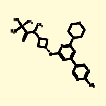 CN(C(=O)[C@@](C)(O)C(F)(F)F)[C@H]1C[C@H](Oc2cc(-c3cnc(N)nc3)nc(N3CCOCC3)n2)C1